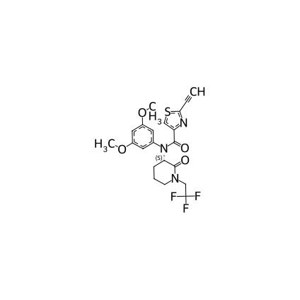 C#Cc1nc(C(=O)N(c2cc(OC)cc(OC)c2)[C@H]2CCCN(CC(F)(F)F)C2=O)cs1